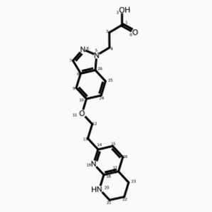 O=C(O)CCn1ncc2cc(OCCc3ccc4c(n3)NCCC4)ccc21